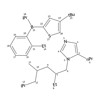 CCCc1cncn1CC(CC)CC(C)CC(C)C.CCc1ccccc1B(c1cc(C(C)(C)C)cs1)C(C)C